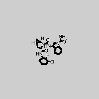 NC(=O)n1cc(NC(=O)N2[C@@H]3C[C@@H]3C[C@H]2C(=O)Nc2cccc(Cl)c2F)c2ccccc21